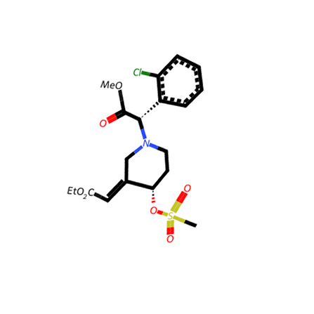 CCOC(=O)/C=C1\CN([C@H](C(=O)OC)c2ccccc2Cl)CC[C@@H]1OS(C)(=O)=O